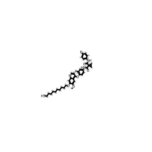 COc1cc2c(Oc3ccc(NC(=O)C4(C(=O)Nc5ccc(F)cc5)CC4)cc3F)ccnc2cc1OCCCCCCCCCCS